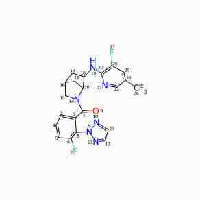 O=C(c1cccc(F)c1-n1nccn1)N1CC2CC(Nc3ncc(C(F)(F)F)cc3F)C1C2